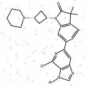 CC(C)n1cnc2cc(-c3ccc4c(c3)N([C@H]3C[C@@H](N5CCCCC5)C3)C(=O)C4(C)C)nc(Cl)c21